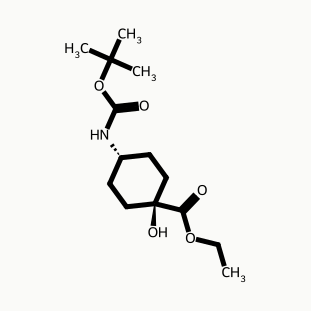 CCOC(=O)[C@]1(O)CC[C@H](NC(=O)OC(C)(C)C)CC1